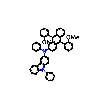 COc1ccccc1-c1c2ccccc2c(-c2ccccc2OC)c2cc(N(c3ccccc3)c3ccc4c(c3)c3ccccc3n4-c3ccccc3)ccc12